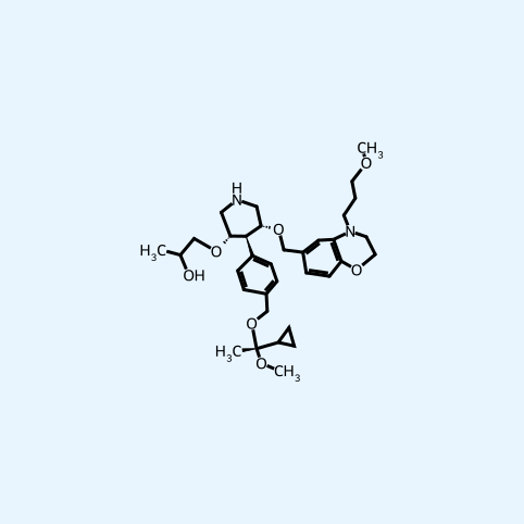 COCCCN1CCOc2ccc(CO[C@H]3CNC[C@@H](OCC(C)O)[C@@H]3c3ccc(CO[C@@](C)(OC)C4CC4)cc3)cc21